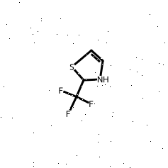 FC(F)(F)[C]1NC=CS1